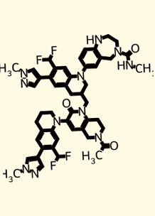 CNC(=O)N1CCNc2ccc(N3CC(Cn4c5c(cc(N6CCCc7cc(-c8cnn(C)c8)c(C(F)F)cc76)c4=O)CN(C(C)=O)CC5)Cc4cc(-c5cnn(C)c5)c(C(F)F)cc43)cc2C1